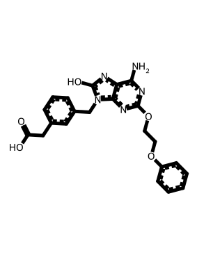 Nc1nc(OCCOc2ccccc2)nc2c1nc(O)n2Cc1cccc(CC(=O)O)c1